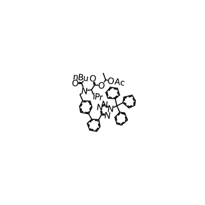 CCCCC(=O)N(Cc1ccc(-c2ccccc2-c2nnn(C(c3ccccc3)(c3ccccc3)c3ccccc3)n2)cc1)C(C(=O)OC(C)OC(C)=O)C(C)C